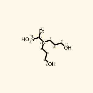 CCC(N(CCCO)CCCO)S(=O)(=O)O